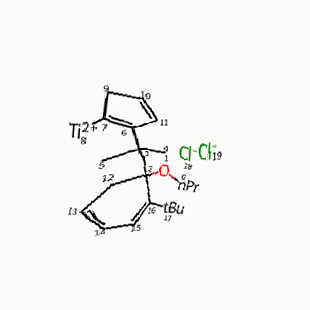 CCCOC1(C(C)(C)C2=[C]([Ti+2])CC=C2)CC=CC=C1C(C)(C)C.[Cl-].[Cl-]